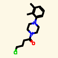 Cc1cccc(N2CCN(C(=O)CCCCl)CC2)c1C